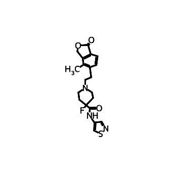 Cc1c(CCN2CCC(F)(C(=O)Nc3cnsc3)CC2)ccc2c1COC2=O